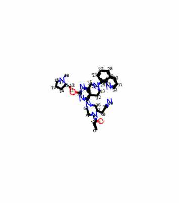 C=CC(=O)N1CCN(c2nc(OC[C@@H]3CCCN3C)nc3c2CCN(c2cccc4cccnc24)C3)CC1CC#N